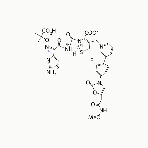 CONC(=O)Cc1cn(-c2ccc(-c3ccc[n+](CC4=C(C(=O)[O-])N5C(=O)[C@@H](NC(=O)/C(=N\OC(C)(C)C(=O)O)c6csc(N)n6)[C@@H]5SC4)c3)c(F)c2)c(=O)o1